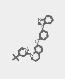 CC(C)(C)c1ccnc(N2CCCc3ccc(Oc4cccc(-n5cnc6ccccc65)c4)cc32)c1